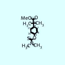 COC(=O)C(C)(C)c1ccc(OC(=S)N(C)C)cc1